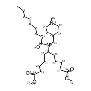 CCCCCCCSC(=O)N(CC1CCN(C)CC1)C(CCCCC(=O)OC)CCCCC(=O)OC